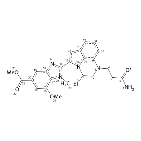 CCC1CN(CCC(N)=O)c2cccc3cc(-c4nc5cc(C(=O)OC)cc(OC)c5n4C)n1c23